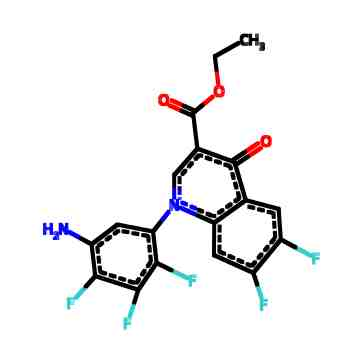 CCOC(=O)c1cn(-c2cc(N)c(F)c(F)c2F)c2cc(F)c(F)cc2c1=O